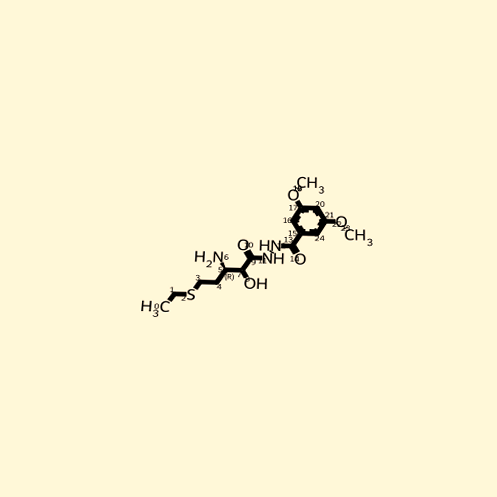 CCSCC[C@@H](N)C(O)C(=O)NNC(=O)c1cc(OC)cc(OC)c1